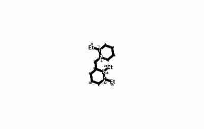 CCB1CCCCN1CC1CCCN(CC)B1CC